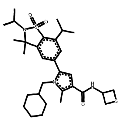 Cc1c(C(=O)NC2CSC2)cc(-c2cc(C(C)C)c3c(c2)C(C)(C)N(C(C)C)S3(=O)=O)n1CC1CCCCC1